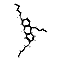 CCCCOc1ccc2c(c1)Oc1cc(OCCCC)ccc1C2CCCC